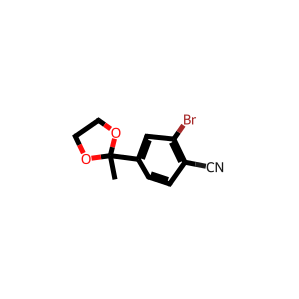 CC1(c2ccc(C#N)c(Br)c2)OCCO1